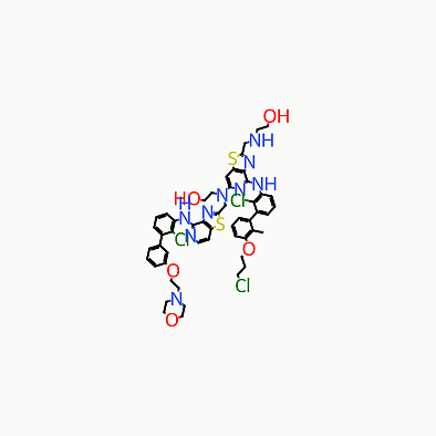 Cc1c(OCCCCl)cccc1-c1cccc(Nc2nc(N(CCO)Cc3nc4c(Nc5cccc(-c6cccc(OCCN7CCOCC7)c6)c5Cl)nccc4s3)cc3sc(CNCCO)nc23)c1Cl